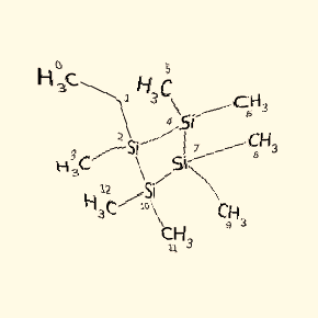 CC[Si]1(C)[Si](C)(C)[Si](C)(C)[Si]1(C)C